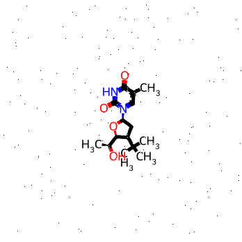 Cc1cn([C@H]2CC(C(C)(C)C)[C@@H]([C@H](C)O)O2)c(=O)[nH]c1=O